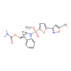 CN(C)C(=O)OC[C@@]1(c2ccccc2)C[C@]1(NS(=O)(=O)c1ccc(-c2cc(C(F)(F)F)on2)s1)C(=O)O